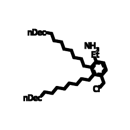 CCCCCCCCCCCCCCCCCCc1c(CC)ccc(CCl)c1CCCCCCCCCCCCCCCCCC.N